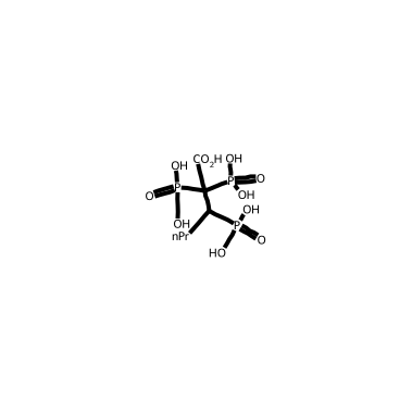 CCCC(C(C(=O)O)(P(=O)(O)O)P(=O)(O)O)P(=O)(O)O